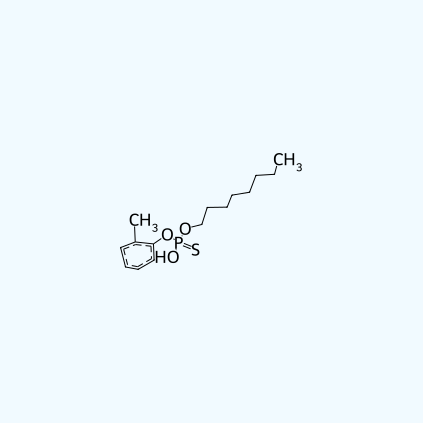 CCCCCCCCOP(O)(=S)Oc1ccccc1C